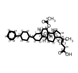 CC(=O)O[C@@H]1C[C@@H]2CC(C3CCC(c4ccccc4)CC3)CC[C@]2(C)[C@H]2CC[C@]3(C)[C@@H]([C@H](C)CCC(=O)O)CC[C@H]3[C@H]12